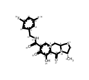 C[C@H]1CSC2Cn3cc(C(=O)NCc4cc(F)cc(F)c4)c(=O)c(O)c3C(=O)N21